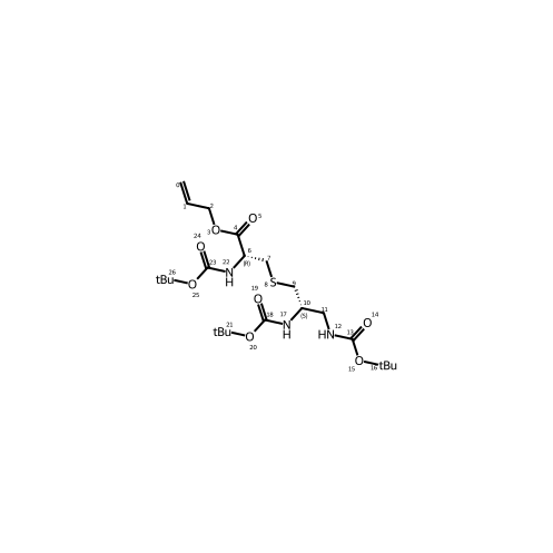 C=CCOC(=O)[C@H](CSC[C@H](CNC(=O)OC(C)(C)C)NC(=O)OC(C)(C)C)NC(=O)OC(C)(C)C